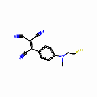 CN(CCS)c1ccc(C(C#N)=C(C#N)C#N)cc1